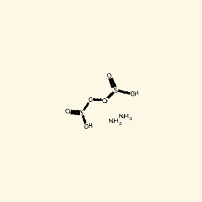 N.N.O=S(O)OOS(=O)O